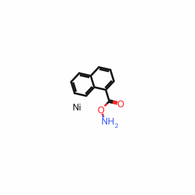 NOC(=O)c1cccc2ccccc12.[Ni]